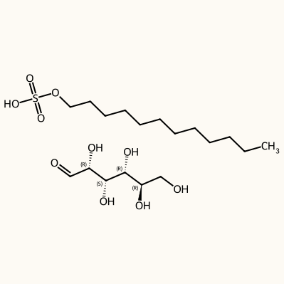 CCCCCCCCCCCCOS(=O)(=O)O.O=C[C@H](O)[C@@H](O)[C@H](O)[C@H](O)CO